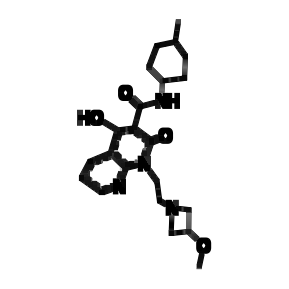 COC1CN(CCn2c(=O)c(C(=O)NC3CCC(C)CC3)c(O)c3cccnc32)C1